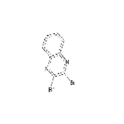 Brc1nc2ccccc2nc1Br